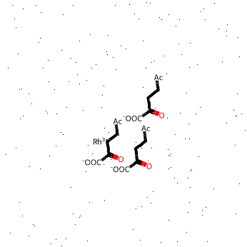 CC(=O)CCC(=O)C(=O)[O-].CC(=O)CCC(=O)C(=O)[O-].CC(=O)CCC(=O)C(=O)[O-].[Rh+3]